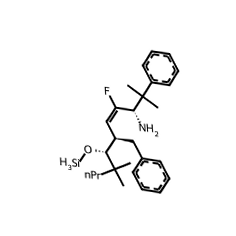 CCCC(C)(C)[C@H](O[SiH3])[C@@H](/C=C(/F)[C@@H](N)C(C)(C)c1ccccc1)Cc1ccccc1